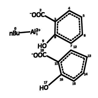 CCC[CH2][Al+2].O=C([O-])c1ccccc1O.O=C([O-])c1ccccc1O